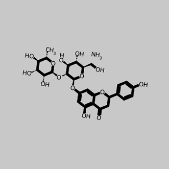 C[C@@H]1O[C@@H](O[C@H]2[C@H](Oc3cc(O)c4c(c3)OC(c3ccc(O)cc3)CC4=O)O[C@H](CO)[C@@H](O)[C@@H]2O)[C@H](O)[C@H](O)[C@H]1O.N